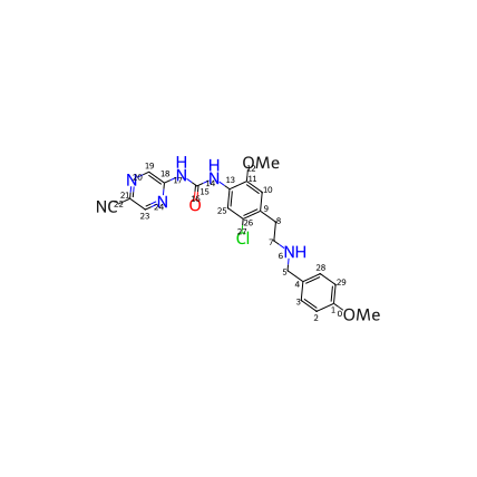 COc1ccc(CNCCc2cc(OC)c(NC(=O)Nc3cnc(C#N)cn3)cc2Cl)cc1